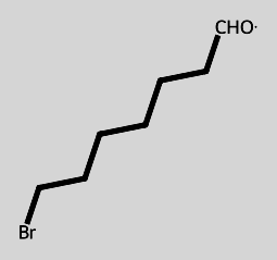 O=[C]CCCCCCBr